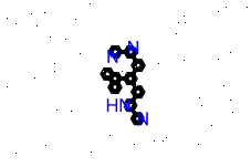 C1=C(c2cccc(-c3cc(-c4cccc(-c5cncc(-c6cccnc6)c5)c4)cc(-c4cc5ccccc5c5ccccc45)c3)c2)C=C(c2cccnc2)CN1